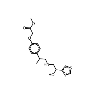 COC(=O)COc1ccc(C(C)CNCC(O)c2cscn2)cc1